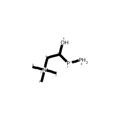 C[N+](C)(C)CC(O)[P-]P